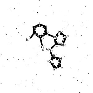 CCc1cccc(-n2nnnc2Nc2nccs2)c1Cl